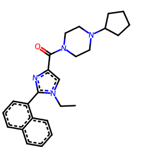 CCn1cc(C(=O)N2CCN(C3CCCC3)CC2)nc1-c1cccc2ccccc12